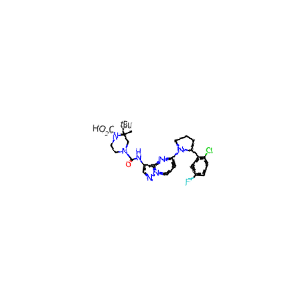 CC(C)(C)C1(C)CN(C(=O)Nc2cnn3ccc(N4CCCC4c4cc(F)ccc4Cl)nc23)CCN1C(=O)O